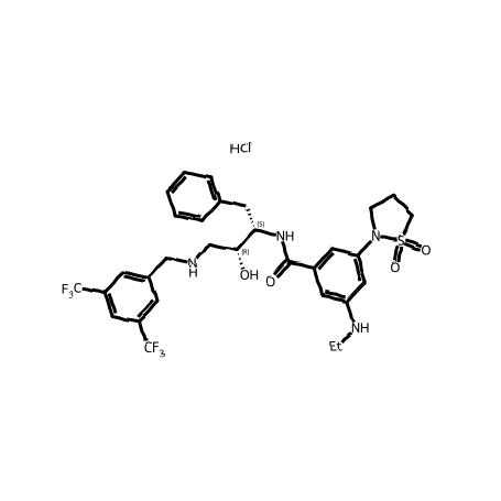 CCNc1cc(C(=O)N[C@@H](Cc2ccccc2)[C@H](O)CNCc2cc(C(F)(F)F)cc(C(F)(F)F)c2)cc(N2CCCS2(=O)=O)c1.Cl